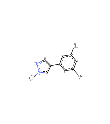 Cn1cc(-c2cc(C#N)cc(C(C)(C)C)c2)cn1